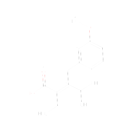 CCC(C(=O)O)=C(Cc1cccc(OC)c1)C(C)C